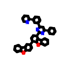 c1ccc(-c2cc(-c3cccc(-c4ccccn4)c3)nc(-c3ccc(-c4ccc5oc6ccccc6c5c4)c4oc5ccccc5c34)n2)cc1